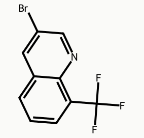 FC(F)(F)c1cccc2cc(Br)cnc12